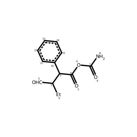 CCC(C=O)C(C(=O)OC(N)=O)c1ccccc1